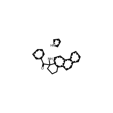 NC1(C(=O)c2ccccc2)CCCc2c1ccc1c2ccc2ccccc21.c1cc[nH]c1